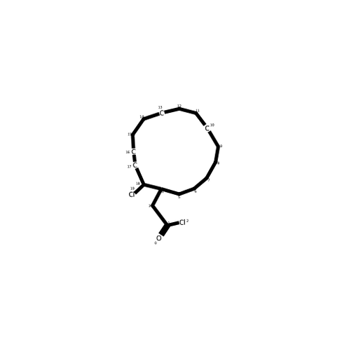 O=C(Cl)CC1CCCCCCCCCCCCCC1Cl